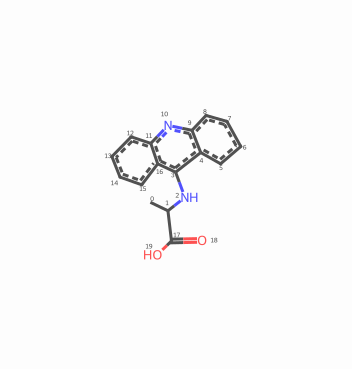 CC(Nc1c2ccccc2nc2ccccc12)C(=O)O